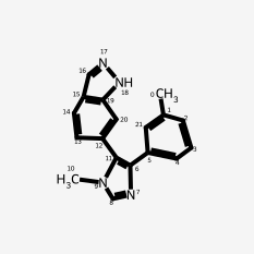 Cc1cccc(-c2ncn(C)c2-c2ccc3cn[nH]c3c2)c1